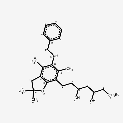 CCOC(=O)CC(O)CC(O)CCc1c(C)c(NCc2ccccc2)c(C)c2c1OC(C)(C)C2